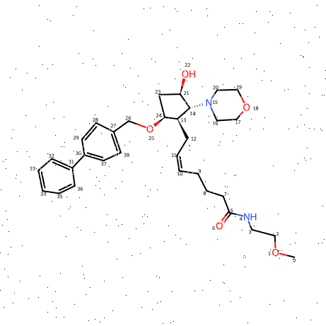 COCCNC(=O)CCC/C=C\C[C@@H]1[C@@H](N2CCOCC2)[C@H](O)C[C@@H]1OCc1ccc(-c2ccccc2)cc1